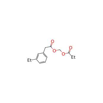 CCC(=O)OCOC(=O)Cc1cccc(CC)c1